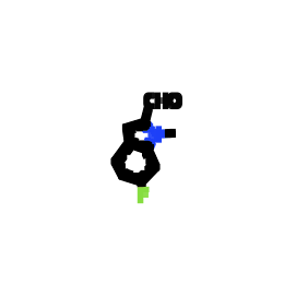 Cn1c(C=O)cc2ccc(F)cc21